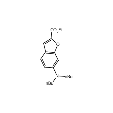 CCCCN(CCCC)c1ccc2cc(C(=O)OCC)oc2c1